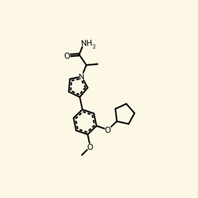 COc1ccc(-c2ccn(C(C)C(N)=O)c2)cc1OC1CCCC1